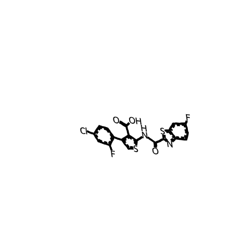 O=C(Nc1scc(-c2ccc(Cl)cc2F)c1C(=O)O)c1nc2ccc(F)cc2s1